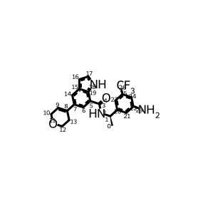 C[C@@H](NC(=O)c1cc(C2=CCOCC2)cc2cc[nH]c12)c1cc(N)cc(C(F)(F)F)c1